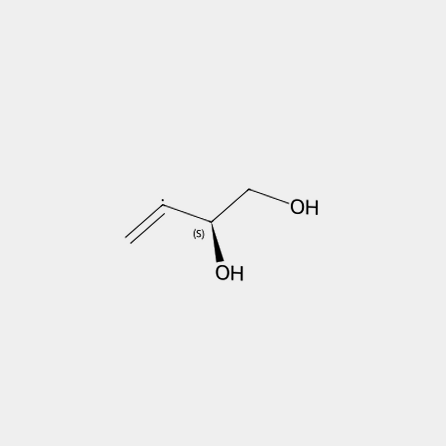 C=[C][C@H](O)CO